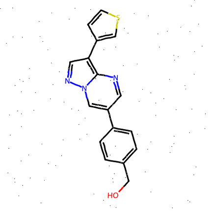 OCc1ccc(-c2cnc3c(-c4ccsc4)cnn3c2)cc1